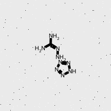 NN=C(N)N.n1nn[nH]n1